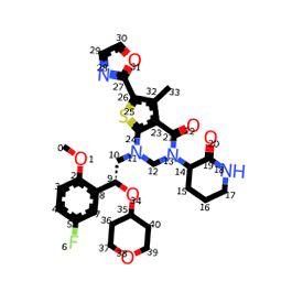 COc1ccc(F)cc1[C@H](CN1CN(C2CCCNC2=O)C(=O)c2c1sc(-c1ncco1)c2C)OC1CCOCC1